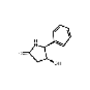 O=C1C[C@H](O)[C@H](c2ccccc2)N1